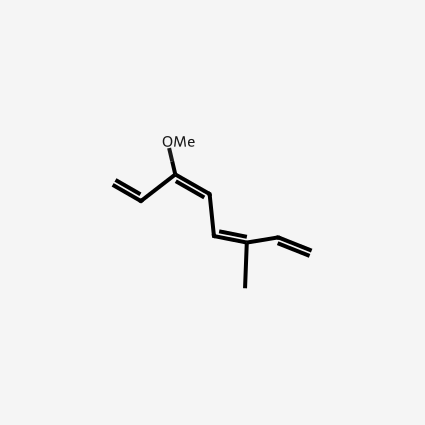 C=C/C(C)=C\C=C(/C=C)OC